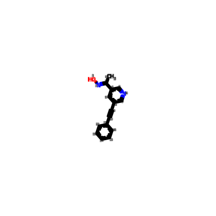 CC(=NO)c1cncc(C#Cc2ccccc2)c1